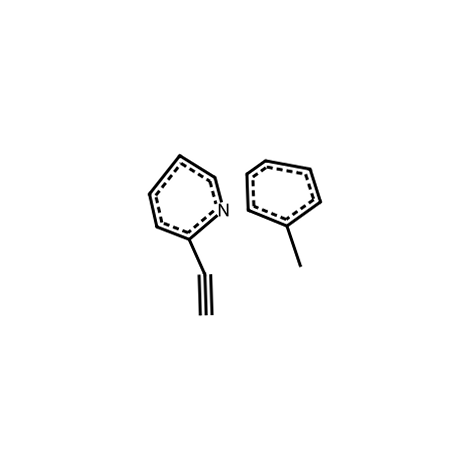 C#Cc1ccccn1.Cc1ccccc1